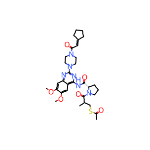 COc1cc2nc(N3CCN(C(=O)C=C4CCCC4)CC3)nc(NC(=O)[C@@H]3CCCN3C(=O)C(C)CSC(C)=O)c2cc1OC